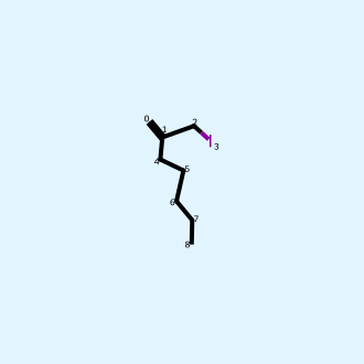 C=C(CI)CCCCC